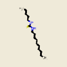 CCCCCCCCCCNC(=S)NCCCCC